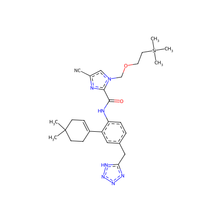 CC1(C)CC=C(c2cc(Cc3nnn[nH]3)ccc2NC(=O)c2nc(C#N)cn2COCC[Si](C)(C)C)CC1